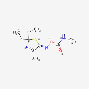 CCC1(CC)N=C(C)C(=NOC(=O)NC)S1